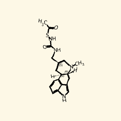 CC(=O)SNC(=O)NC[C@@H]1C[C@@H]2c3cccc4[nH]cc(c34)C[C@H]2N(C)C1